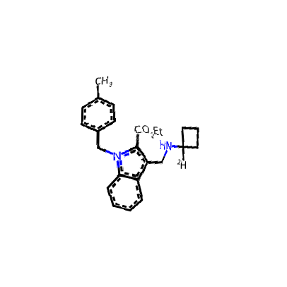 [2H]C1(NCc2c(C(=O)OCC)n(Cc3ccc(C)cc3)c3ccccc23)CCC1